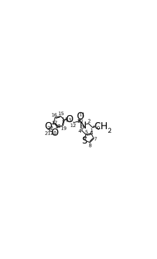 C=CCN(Cc1cccs1)C(=O)COc1ccc2c(c1)OCO2